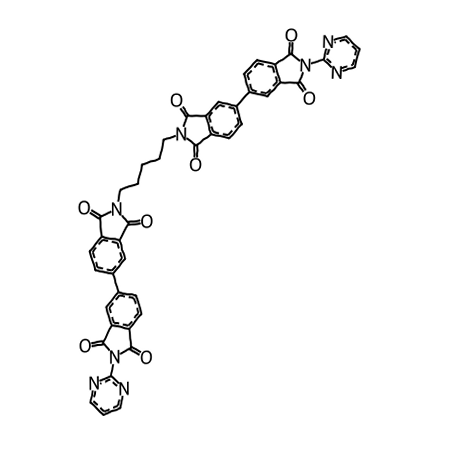 O=C1c2ccc(-c3ccc4c(c3)C(=O)N(c3ncccn3)C4=O)cc2C(=O)N1CCCCCN1C(=O)c2ccc(-c3ccc4c(c3)C(=O)N(c3ncccn3)C4=O)cc2C1=O